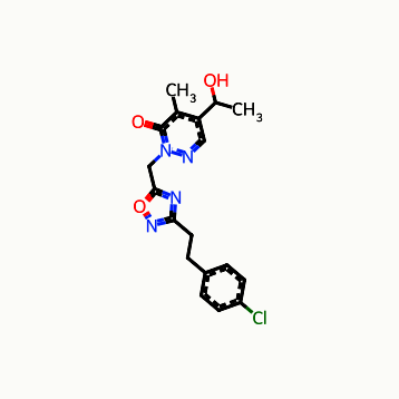 Cc1c(C(C)O)cnn(Cc2nc(CCc3ccc(Cl)cc3)no2)c1=O